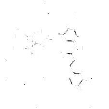 COc1ccc(NC(=O)/C=C/c2ccc(F)c(F)c2)cc1OCCCN(C(C)C)C(C)C